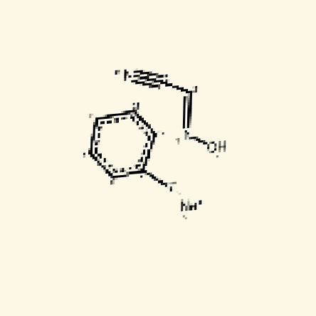 N#CC=NO.[Na+].[S-]c1ccccc1